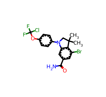 CC1(C)CN(c2ccc(OC(F)(F)Cl)cc2)c2cc(C(N)=O)cc(Br)c21